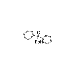 O=[P]([PbH])(c1ccccc1)c1ccccc1